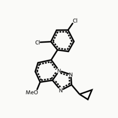 COc1ccc(-c2ccc(Cl)cc2Cl)n2nc(C3CC3)nc12